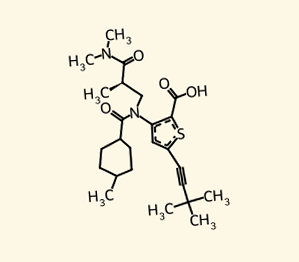 CC1CCC(C(=O)N(C[C@@H](C)C(=O)N(C)C)c2cc(C#CC(C)(C)C)sc2C(=O)O)CC1